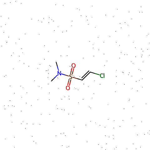 CN(C)S(=O)(=O)C=CCl